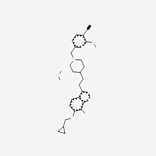 CNC.CSc1nc(CN2CCC(CCc3noc4c(C)c(OCC5CC5)ccc34)CC2)ccc1C#N